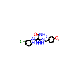 COc1ccc(/C=N/c2[nH]nc(Nc3cccc(Cl)c3)c2C(N)=O)cc1